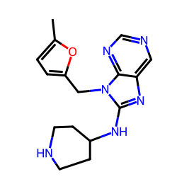 Cc1ccc(Cn2c(NC3CCNCC3)nc3cncnc32)o1